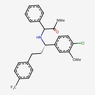 CNC(=O)C(N[C@@H](CCc1ccc(C(F)(F)F)cc1)c1ccc(Cl)c(OC)c1)c1ccccc1